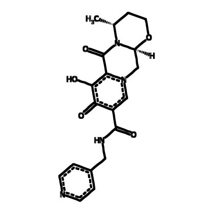 C[C@@H]1CCO[C@H]2Cn3cc(C(=O)NCc4ccncc4)c(=O)c(O)c3C(=O)N12